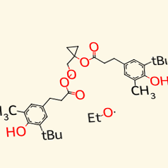 Cc1cc(CCC(=O)OOCC2(OC(=O)CCc3cc(C)c(O)c(C(C)(C)C)c3)CC2)cc(C(C)(C)C)c1O.[CH2]C[O]